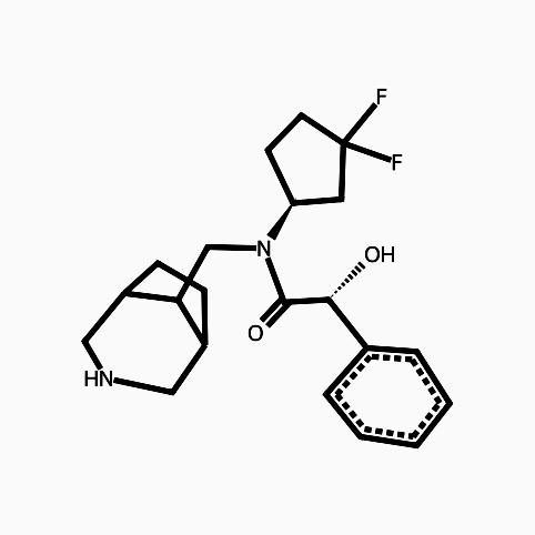 O=C([C@H](O)c1ccccc1)N(CC1C2CCC1CNC2)[C@H]1CCC(F)(F)C1